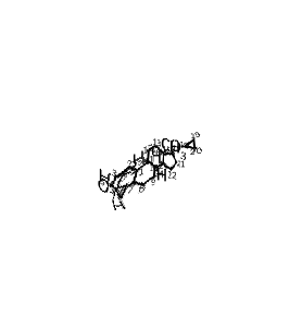 C[C@]12C=CC(=O)NC1CC[C@@H]1[C@H]2CC[C@]2(C)C(OC3CC3)CC[C@@H]12